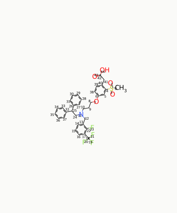 CS(=O)(=O)c1cc(OCCCN(Cc2cccc(C(F)(F)F)c2F)CC(c2ccccc2)c2ccccc2)ccc1CC(=O)O